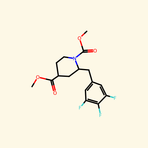 COC(=O)C1CCN(C(=O)OC)C(Cc2cc(F)c(F)c(F)c2)C1